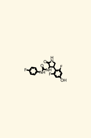 O=C(Nc1ccc(F)cc1)NC1C(=O)NCC1c1c(F)cc(O)cc1F